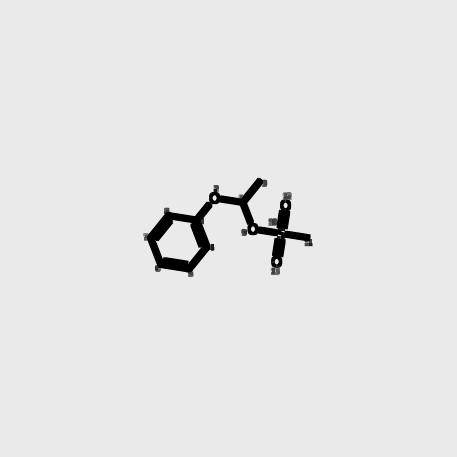 CC(Oc1ccccc1)OS(C)(=O)=O